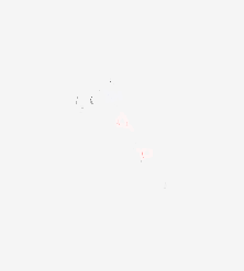 CC(NCCOCCOCCCC(C)(C)C)C(C)(C)C